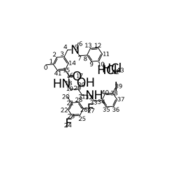 Cc1cc(CN(C)Cc2ccccc2)cc(C(=O)N[C@@H](Cc2cc(F)cc(F)c2)[C@H](O)CNCc2cccc(I)c2)c1.Cl.Cl